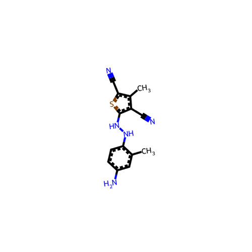 Cc1cc(N)ccc1NNc1sc(C#N)c(C)c1C#N